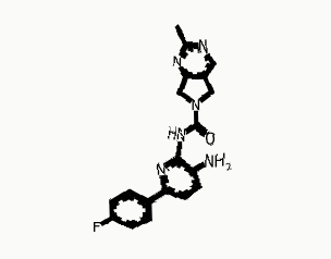 Cc1ncc2c(n1)CN(C(=O)Nc1nc(-c3ccc(F)cc3)ccc1N)C2